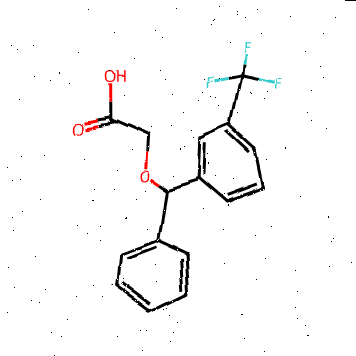 O=C(O)COC(c1c[c]ccc1)c1cccc(C(F)(F)F)c1